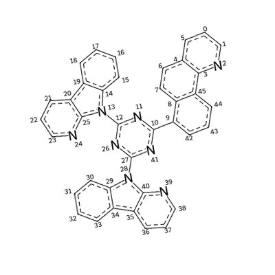 c1cnc2c(c1)ccc1c(-c3nc(-n4c5ccccc5c5cccnc54)nc(-n4c5ccccc5c5cccnc54)n3)cccc12